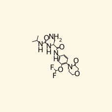 CC(C)NC(=O)N[C@@H](CN)C(=O)Nc1ccc(N2CCOCC2=O)c(OC(F)F)c1